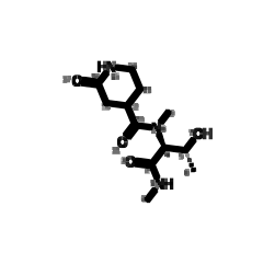 CNC(=O)[C@H]([C@@H](C)O)N(C)C(=O)C1CCNC(=O)C1